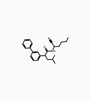 CCCCC(C#N)NC(=O)C(CC(C)C)c1cccc(-c2ccccc2)c1